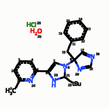 Cc1cccc(C2=CN(C3(Cc4ccccc4)C=NC=N3)C(C(C)(C)C)N2)n1.Cl.O